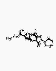 C=C(OCC)c1cc2[nH]c3c(c(=O)n2n1)CN(C1CCOCC1)C3=O